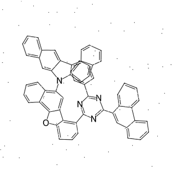 c1ccc(-c2nc(-c3cc4ccccc4c4ccccc34)nc(-c3cccc4oc5c6ccccc6c(-n6c7cc8ccccc8cc7c7c8ccccc8ccc76)cc5c34)n2)cc1